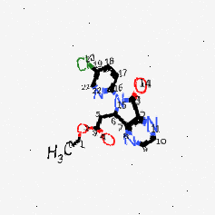 CCOC(=O)CC1c2nccnc2C(=O)N1c1ccc(Cl)cn1